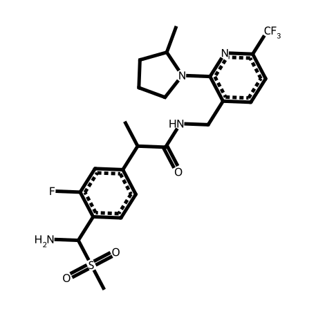 CC(C(=O)NCc1ccc(C(F)(F)F)nc1N1CCCC1C)c1ccc(C(N)S(C)(=O)=O)c(F)c1